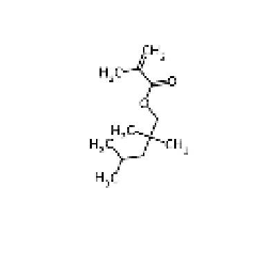 C=C(C)C(=O)OCC(C)(C)CC(C)C